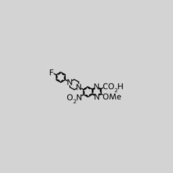 COc1nc2cc([N+](=O)[O-])c(N3CCN(c4ccc(F)cc4)CC3)cc2nc1C(=O)O